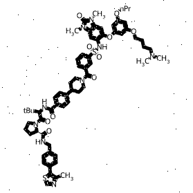 CCCOc1cc(OCCCCN(C)C)cc(Oc2cc3c(cc2NS(=O)(=O)c2cccc(C(=O)N4CCC(c5ccc(C(=O)NC(C(=O)N6CCC[C@H]6C(=O)NCc6ccc(-c7scnc7C)cc6)C(C)(C)C)cc5)CC4)c2)n(C)c(=O)n3C)c1